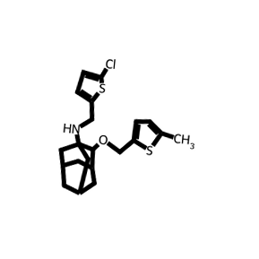 Cc1ccc(COC2C3CC4CC(C3)CC2(NCc2ccc(Cl)s2)C4)s1